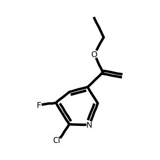 C=C(OCC)c1cnc(Cl)c(F)c1